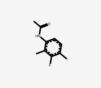 CC(=O)Nc1ccc(I)c(F)c1C